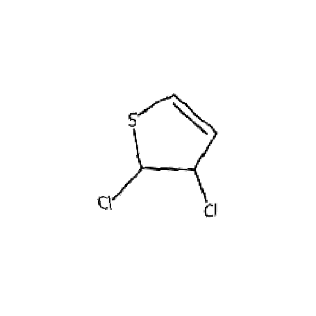 ClC1C=CSC1Cl